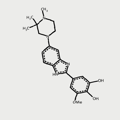 COc1cc(-c2nc3cc(N4CCN(C)C(C)(C)C4)ccc3[nH]2)cc(O)c1O